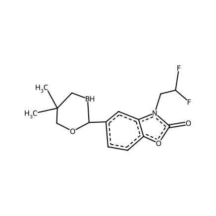 CC1(C)CBC(c2ccc3oc(=O)n(CC(F)F)c3c2)OC1